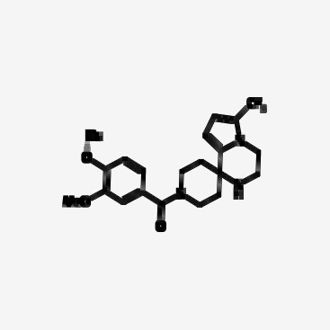 CC[C@@H](C)Oc1ccc(C(=O)N2CCC3(CC2)NCCn2c(C(F)(F)F)ccc23)cc1OC